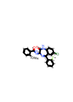 COc1ccccc1C(=O)NC1N=C(c2ccccc2F)c2cc(Cl)ccc2NC1=O